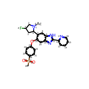 CC(=O)N1CC(F)CC1c1cc2[nH]c(-c3ccccn3)nc2cc1Oc1ccc(S(C)(=O)=O)cc1